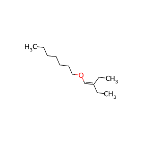 CCCCCCCOC=C(CC)CC